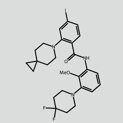 COc1c(NC(=O)c2ccc(I)cc2N2CCC3(CC2)CC3)cccc1N1CCC(F)(F)CC1